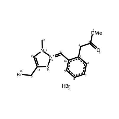 Br.COC(=O)Cc1ccccc1C=[N+]1SC(CBr)=CN1C